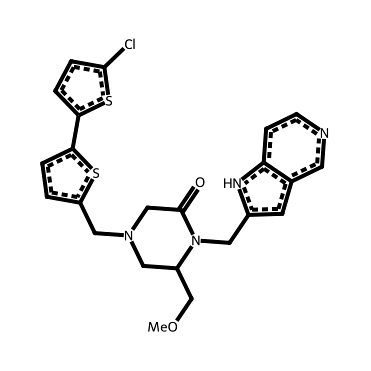 COCC1CN(Cc2ccc(-c3ccc(Cl)s3)s2)CC(=O)N1Cc1cc2cnccc2[nH]1